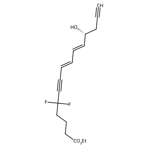 C#CC[C@@H](O)/C=C/C=C/C#CC(F)(F)CCCC(=O)OCC